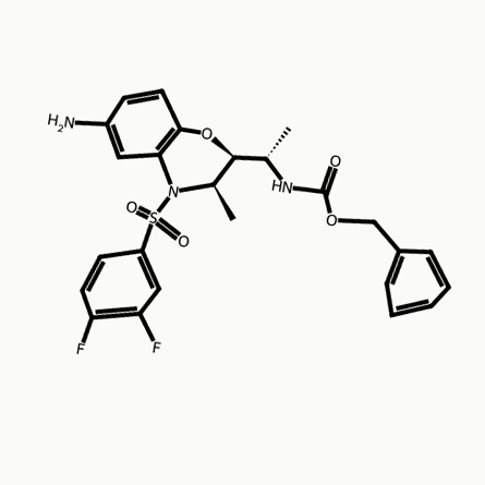 C[C@H](NC(=O)OCc1ccccc1)[C@@H]1Oc2ccc(N)cc2N(S(=O)(=O)c2ccc(F)c(F)c2)[C@@H]1C